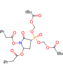 CC(C)CC(=O)OC1CC(P(=O)(OCOC(=O)C(C)(C)C)OCOC(=O)C(C)(C)C)C(=O)N1OC(=O)CC(C)C